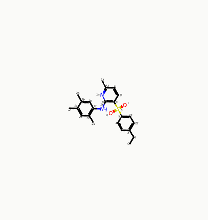 CCc1ccc(S(=O)(=O)c2ccc(C)nc2Nc2cc(C)c(C)cc2C)cc1